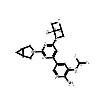 Nc1ncc(-c2cc(N3CC4OC[C@H]43)nc(N3CC4CC4C3)n2)cc1OC(F)F